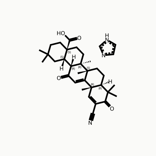 CC1(C)CC[C@]2(C(=O)O)CC[C@]3(C)[C@H](C(=O)C=C4[C@@]5(C)C=C(C#N)C(=O)C(C)(C)[C@@H]5CC[C@]43C)[C@@H]2C1.c1c[nH]cn1